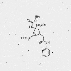 CCOC(=O)C1C2C(CC(=O)Nc3ccccc3)CC(NC(=O)OC(C)(C)C)(C(=O)OCC)C12